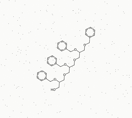 OCC(COCC(COCC(COCc1ccccc1)OCc1ccccc1)OCc1ccccc1)OCc1ccccc1